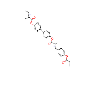 C=CC(=O)Oc1ccc(/C=C(\C)C(=O)Oc2ccc(-c3ccc(OC(=O)/C(C)=C/C)cc3)cc2)cc1